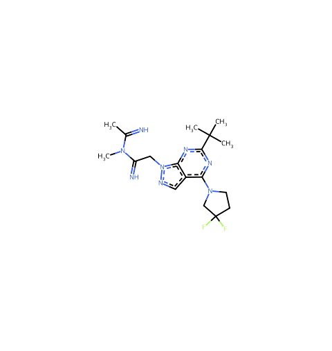 CC(=N)N(C)C(=N)Cn1ncc2c(N3CCC(F)(F)C3)nc(C(C)(C)C)nc21